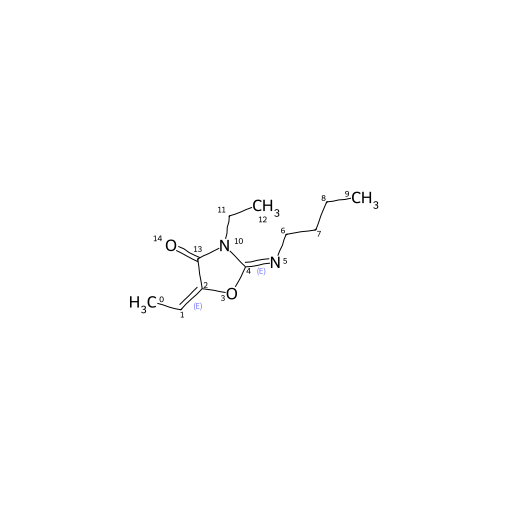 C/C=C1/O/C(=N/CCCC)N(CC)C1=O